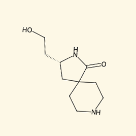 O=C1N[C@@H](CCO)CC12CCNCC2